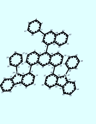 c1ccc(-c2cc(-c3c4cccc(-c5cccc6c7ccccc7n(-c7ccccc7)c56)c4cc4c(-c5cccc6c7ccccc7n(-c7ccccc7)c56)cccc34)c3ccccc3c2)cc1